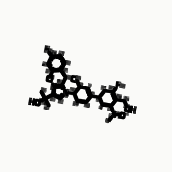 C[S+]([O-])C1=CC(C2=CC(Cl)C(n3cc(C(C)(C)O)nc3Cc3ccc(F)cc3Cl)C=C2)CC(F)=C1CO